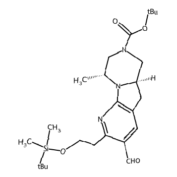 C[C@@H]1CN(C(=O)OC(C)(C)C)C[C@H]2Cc3cc(C=O)c(CCO[Si](C)(C)C(C)(C)C)nc3N21